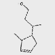 CC1C=CCC1C(C)CCO